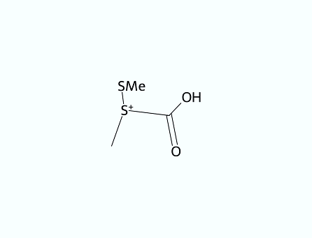 CS[S+](C)C(=O)O